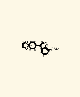 COc1cccc2c(C3=CCC4(CC3)OCCO4)coc12